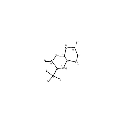 C[C@@H]1COC2NC(C(C)(C)C)N(C)CC2O1